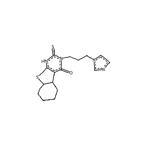 O=c1c2c([nH]c(=S)n1CCCn1ccnc1)SC1CCCCC21